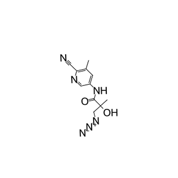 Cc1cc(NC(=O)C(C)(O)CN=[N+]=[N-])cnc1C#N